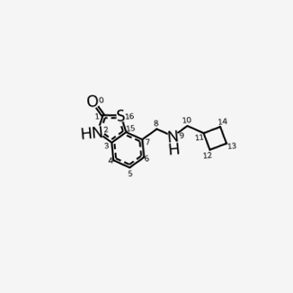 O=c1[nH]c2cccc(CNCC3CCC3)c2s1